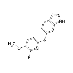 COc1ccc(Nc2ccc3cc[nH]c3c2)nc1F